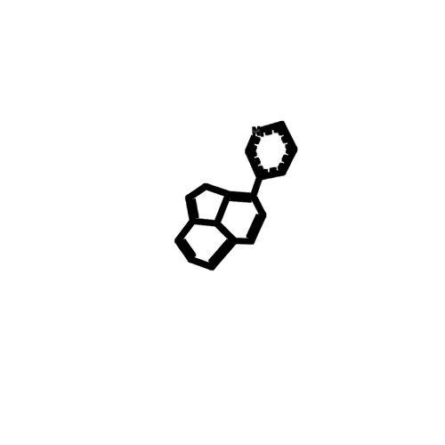 C1=CC2=CCC3=C(c4cccnc4)C=CC(=C1)C23